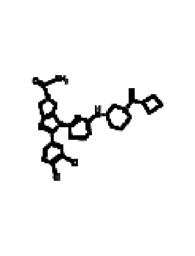 NC(=O)N1Cc2nc(-c3ccc(Cl)c(Cl)c3)n(-c3ccnc(N[C@H]4CCCN(C(=O)C5CCC5)C4)n3)c2C1